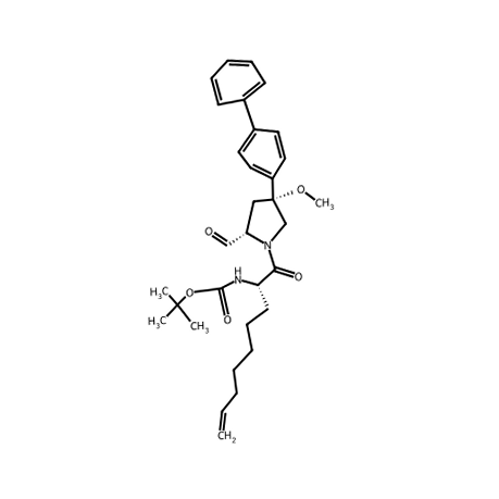 C=CCCCCC[C@H](NC(=O)OC(C)(C)C)C(=O)N1C[C@](OC)(c2ccc(-c3ccccc3)cc2)C[C@H]1C=O